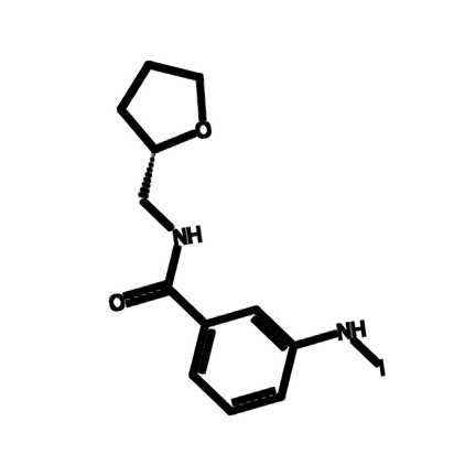 O=C(NC[C@@H]1CCCO1)c1cccc(NI)c1